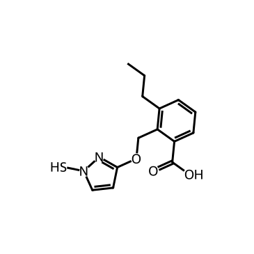 CCCc1cccc(C(=O)O)c1COc1ccn(S)n1